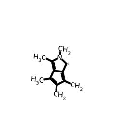 CC1=C(C)C2=C(C)N(C)[CH]C2=C1C